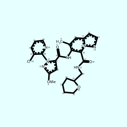 COc1cc(C(=O)Nc2c(C)cc3ccnn3c2C(=O)NCC2CCCCO2)n(-c2ncccc2Cl)n1